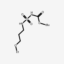 CCOCCCNS(=O)(=O)NC(=O)OC(C)(C)C